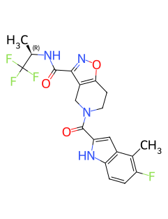 Cc1c(F)ccc2[nH]c(C(=O)N3CCc4onc(C(=O)N[C@H](C)C(F)(F)F)c4C3)cc12